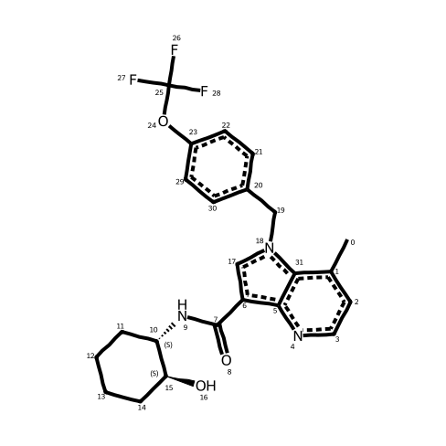 Cc1ccnc2c(C(=O)N[C@H]3CCCC[C@@H]3O)cn(Cc3ccc(OC(F)(F)F)cc3)c12